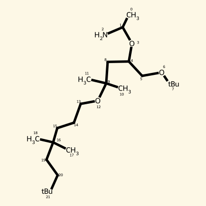 CC(N)OC(COC(C)(C)C)CC(C)(C)OCCCC(C)(C)CCC(C)(C)C